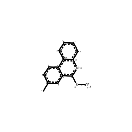 Cc1ccc2c(c1)c(SC(F)(F)F)nc1ccccc12